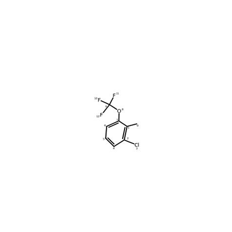 Cc1c(Cl)cccc1OC(F)(F)F